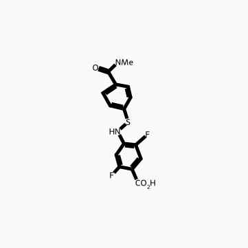 CNC(=O)c1ccc(SNc2cc(F)c(C(=O)O)cc2F)cc1